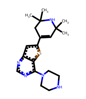 CC1(C)C=C(c2cc3ncnc(N4CCNCC4)c3s2)CC(C)(C)N1